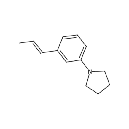 CC=Cc1cccc(N2CCCC2)c1